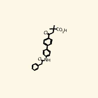 CC(C)(CC(=O)c1ccc(-c2ccc(NC(=O)Cc3ccccc3)cc2)cc1)C(=O)O